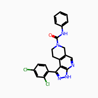 O=C(Nc1ccccc1)N1CCc2c(cnc3[nH]nc(-c4ccc(Cl)cc4Cl)c23)C1